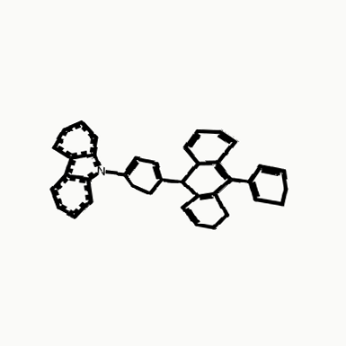 C1=CC2=C(C3=CCCC=C3)C3=C(C=CCC3)C(C3=CC=C(n4c5ccccc5c5ccccc54)CC3)C2C=C1